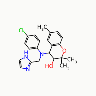 Cc1ccc2c(c1)C(N(Cc1ncc[nH]1)c1ccc(Cl)cc1)C(O)C(C)(C)O2